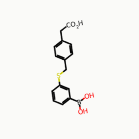 O=C(O)Cc1ccc(CSc2cccc(B(O)O)c2)cc1